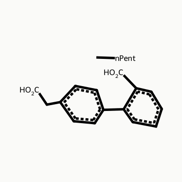 CCCCCC.O=C(O)Cc1ccc(-c2ccccc2C(=O)O)cc1